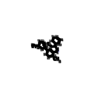 C=CC(/N=C\C1=CC(C2=CC=CC(C(C)C)C2)CC=C1C)C1C=C=CCC1